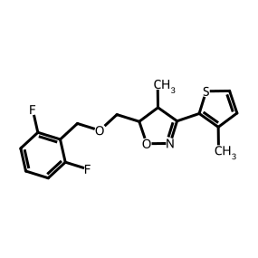 Cc1ccsc1C1=NOC(COCc2c(F)cccc2F)C1C